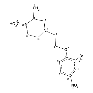 CC1CN(CCOc2ccc([N+](=O)[O-])cc2Br)CCN1C(=O)O